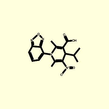 CC1=C(C(=O)O)C(C(C)C)C([N+](=O)[O-])=C(C)N1c1cccc2nonc12